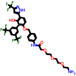 NCCOCCOCCOCC(=O)Nc1ccc(COc2ccc(-c3cc(C(F)(F)F)n[nH]3)c(O)c2-c2cc(C(F)(F)F)cc(C(F)(F)F)c2)cc1